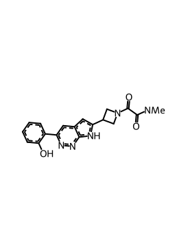 CNC(=O)C(=O)N1CC(c2cc3cc(-c4ccccc4O)nnc3[nH]2)C1